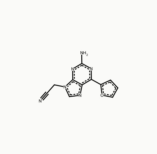 N#CCn1cnc2c(-c3ccco3)nc(N)nc21